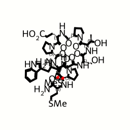 CSCC[C@H](NC(=O)[C@@H]1CCCN1C(=O)[C@H](CCSC)NC(=O)[C@@H]1CCCN1C(=O)[C@H](CCC(=O)O)NC(=O)[C@@H]1CCCN1C(=O)[C@@H](NC(=O)[C@H](CO)NC(=O)CNC(=O)[C@@H](N)Cc1c[nH]c2ccccc12)[C@@H](C)O)C(N)=O